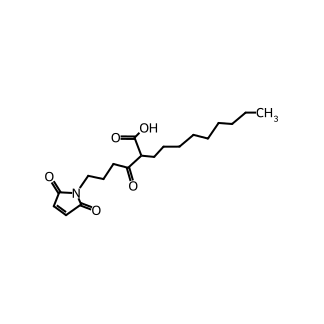 CCCCCCCCCC(C(=O)O)C(=O)CCCN1C(=O)C=CC1=O